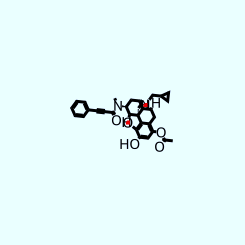 CC(=O)Oc1cc(O)c2c3c1C[C@@H]1[C@@H]4CC[C@H](N(C)C(=O)C#Cc5ccccc5)[C@H](O2)[C@]34CCN1CC1CC1